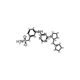 NS(=O)(=O)Cc1cccc(Nc2ncnc(N3CCCC3CN3CCCC3)n2)c1